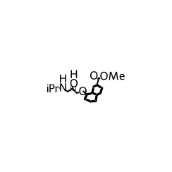 COC(=O)c1ccc2cccc(OC[C@@H](O)CNC(C)C)c2c1